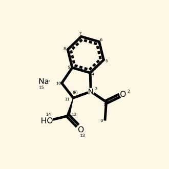 CC(=O)N1c2ccccc2C[C@@H]1C(=O)O.[Na]